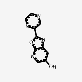 Oc1cnc2oc(-c3cnccn3)nc2c1